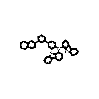 c1cc(-c2ccc(N(c3cccc4c3oc3ccccc34)c3cccc4c3sc3ccccc34)cc2)cc(-c2ccc3ccccc3c2)c1